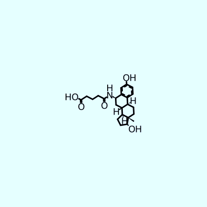 C[C@]12CC[C@@H]3c4ccc(O)cc4[C@H](NC(=O)CCCC(=O)O)C[C@H]3[C@@H]1CC[C@@H]2O